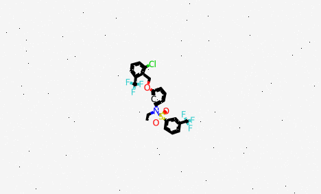 CCN(c1cccc(OCc2c(Cl)cccc2C(F)(F)F)c1)S(=O)(=O)c1cccc(C(F)(F)F)c1